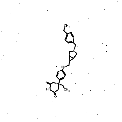 CCc1ccc(CN2CC3C(CNc4ccc(C5(CC)CC(=O)NC(=O)C5)cc4)C3C2)cc1